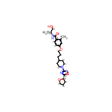 Cc1cc(OCCCC2CCN(c3noc([C@H]4CCCO4)n3)CC2)ccc1C(=O)N[C@H](C)CO